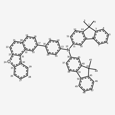 CC1(C)c2ccccc2-c2cc(N(c3ccc(-c4ccc5ccc6oc7ccccc7c6c5c4)cc3)c3ccc4c(c3)C(C)(C)c3ccccc3-4)ccc21